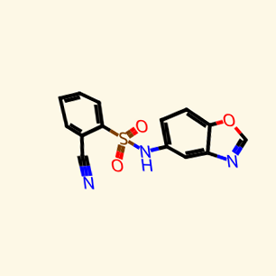 N#Cc1ccccc1S(=O)(=O)Nc1ccc2ocnc2c1